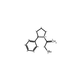 C=C(CC(C)(C)C)N1CCCC1c1ccccc1